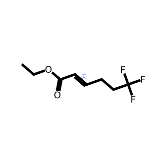 CCOC(=O)/C=C/CCC(F)(F)F